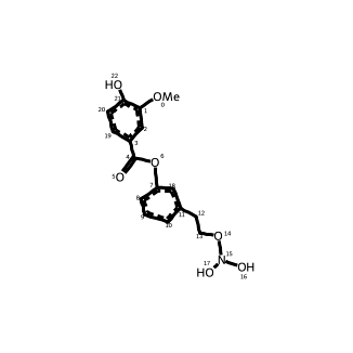 COc1cc(C(=O)Oc2cccc(CCON(O)O)c2)ccc1O